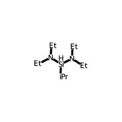 CCN(CC)[SiH](C(C)C)N(CC)CC